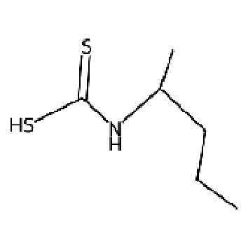 CCCC(C)NC(=S)S